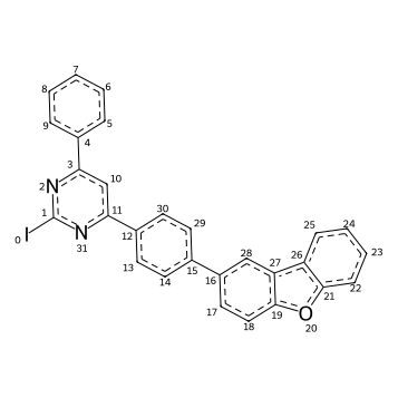 Ic1nc(-c2ccccc2)cc(-c2ccc(-c3ccc4oc5ccccc5c4c3)cc2)n1